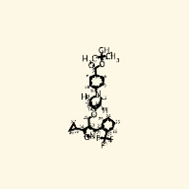 CC(C)(C)OC(=O)c1ccc(N2C[C@@H]3C[C@H]2C[C@H]3OCc2c(-c3ccccc3C(F)(F)F)noc2C2CC2)cc1